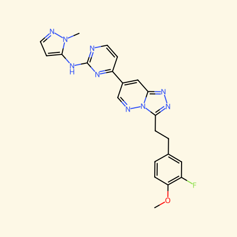 COc1ccc(CCc2nnc3cc(-c4ccnc(Nc5ccnn5C)n4)cnn23)cc1F